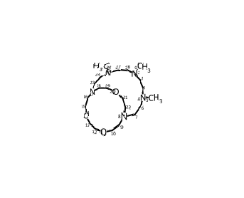 CN1CCN(C)CCN2CCOCCOCCN(CCOCC2)CCN(C)CC1